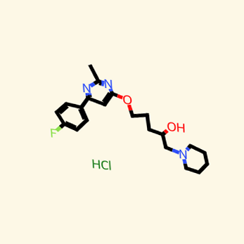 Cc1nc(OCCCC(O)CN2CCCCC2)cc(-c2ccc(F)cc2)n1.Cl